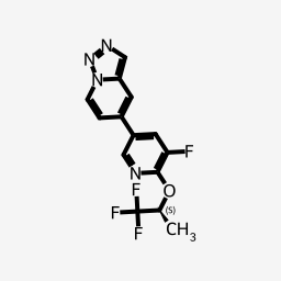 C[C@H](Oc1ncc(-c2ccn3nncc3c2)cc1F)C(F)(F)F